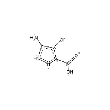 Nc1[nH]nc(C(=O)O)c1Cl